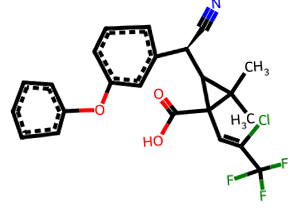 CC1(C)C([C@H](C#N)c2cccc(Oc3ccccc3)c2)C1(/C=C(\Cl)C(F)(F)F)C(=O)O